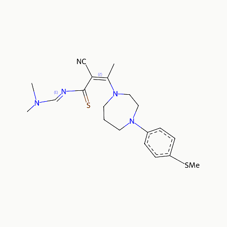 CSc1ccc(N2CCCN(/C(C)=C(/C#N)C(=S)/N=C/N(C)C)CC2)cc1